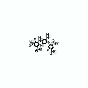 Nc1cc(N)c(Nc2cc(F)c([N+](=O)[O-])cc2[N+](=O)[O-])cc1Nc1cc(F)c([N+](=O)[O-])cc1[N+](=O)[O-]